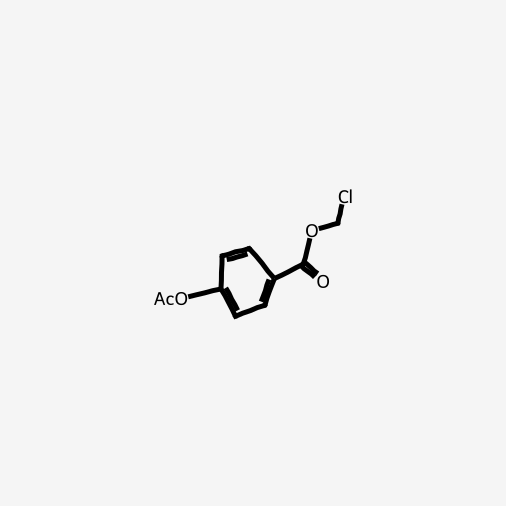 CC(=O)Oc1ccc(C(=O)OCCl)cc1